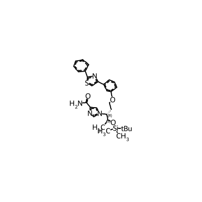 C[C@H](O[Si](C)(C)C(C)(C)C)[C@@H](CCOc1cccc(-c2csc(-c3ccccc3)n2)c1)n1cnc(C(N)=O)c1